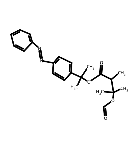 CC(C(=O)OC(C)(C)c1ccc(N=Nc2ccccc2)cc1)C(C)(C)O[C]=O